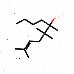 CCCCC(C)(O)C(C)(C)CC=C(C)C